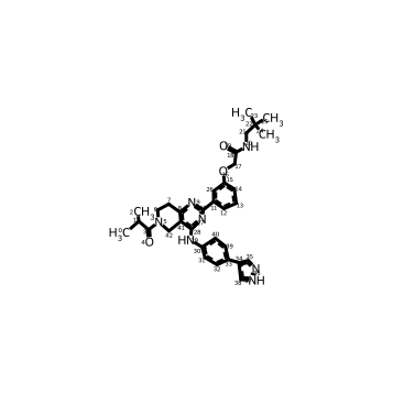 CC(C)C(=O)N1CCc2nc(-c3cccc(OCC(=O)NCC(C)(C)C)c3)nc(Nc3ccc(-c4cn[nH]c4)cc3)c2C1